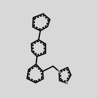 c1ccc(-c2ccc(-c3ccccc3Cn3ccnc3)cc2)cc1